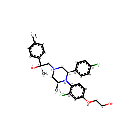 Cc1ccc([C@](C)(O)CN2C[C@H](C)N(c3ccc(OCCO)cc3Cl)[C@H](c3ccc(Cl)cc3)C2)cc1